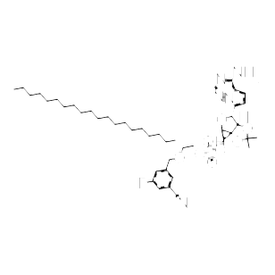 CCCCCCCCCCCCCCCCCCCC[C@H](COP(=O)(O)OC1[C@@]2(C)O[C@@H](c3ccc4c(N)ncnn34)[C@@H]3OC(C)(C)O[C@@]132)OCc1cc(F)cc(C#N)c1